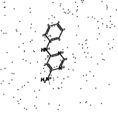 Nc1cc(Nc2ccccc2)ncn1